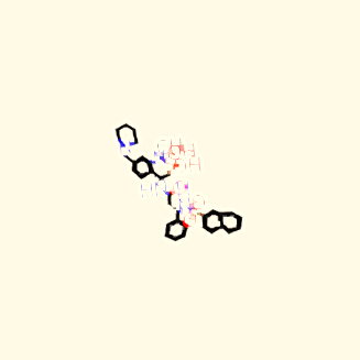 CN1c2cc(CN3CCCCC3)ccc2[C@H](NC(=O)C[C@@H](NS(=O)(=O)c2ccc3ccccc3c2)c2ccccc2)CS1(O)O